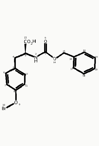 O=C(N[C@@H](Cc1ccc(OBr)cc1)C(=O)O)OCc1ccccc1